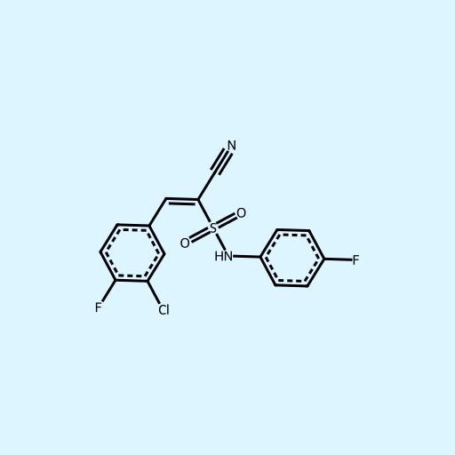 N#CC(=Cc1ccc(F)c(Cl)c1)S(=O)(=O)Nc1ccc(F)cc1